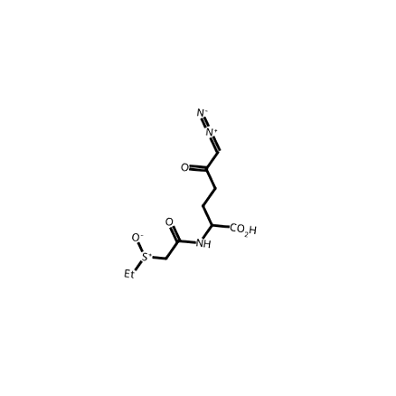 CC[S+]([O-])CC(=O)NC(CCC(=O)C=[N+]=[N-])C(=O)O